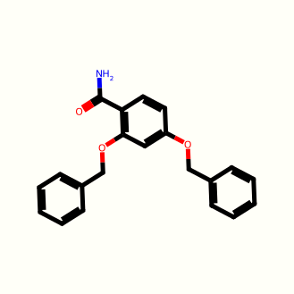 NC(=O)c1ccc(OCc2ccccc2)cc1OCc1ccccc1